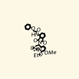 CCOc1nc(C(CS(C)(=O)=O)N2C(=O)c3cccc(NC(=O)COc4ccccc4)c3C2=O)ccc1OC